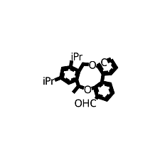 CC(C)c1cc(C(C)C)c2c(c1)C(C)Oc1c(C=O)cccc1-c1ccccc1OC2